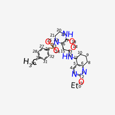 CCOc1ncc2c(n1)CCCC2NC(=O)C[C@@H]1C(=O)NCCN1S(=O)(=O)c1ccc(C)cc1